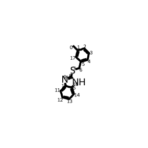 Cc1cccc(CSc2nc3ccccc3[nH]2)c1